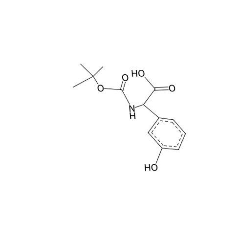 CC(C)(C)OC(=O)NC(C(=O)O)c1cccc(O)c1